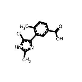 Cc1nc(-c2cc(C(=O)O)ccc2C)c(Cl)[nH]1